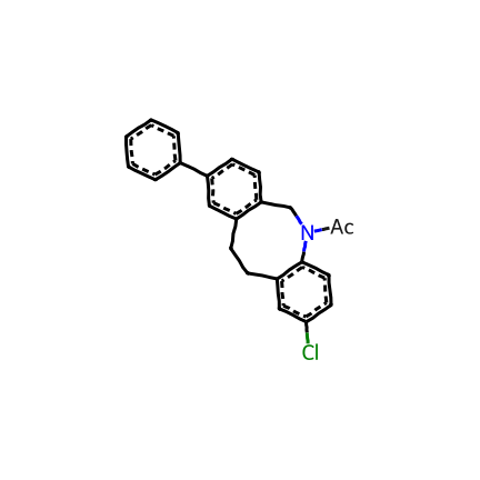 CC(=O)N1Cc2ccc(-c3ccccc3)cc2CCc2cc(Cl)ccc21